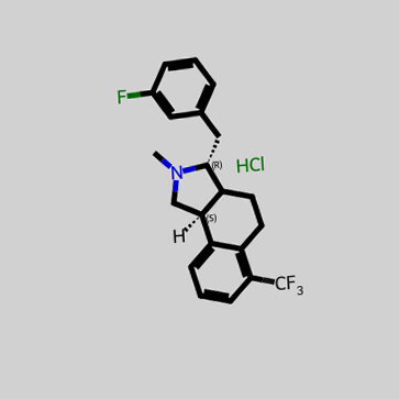 CN1C[C@@H]2c3cccc(C(F)(F)F)c3CCC2[C@H]1Cc1cccc(F)c1.Cl